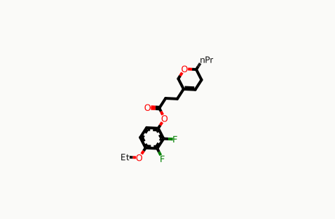 CCCC1CC=C(CCC(=O)Oc2ccc(OCC)c(F)c2F)CO1